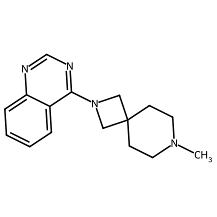 CN1CCC2(CC1)CN(c1ncnc3ccccc13)C2